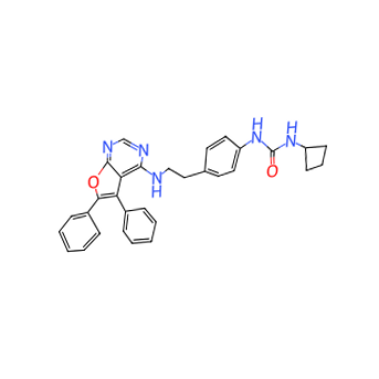 O=C(Nc1ccc(CCNc2ncnc3oc(-c4ccccc4)c(-c4ccccc4)c23)cc1)NC1CCC1